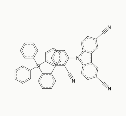 N#Cc1ccc2c(c1)c1cc(C#N)ccc1n2-c1cccc(-c2ccccc2[Si](c2ccccc2)(c2ccccc2)c2ccccc2)c1C#N